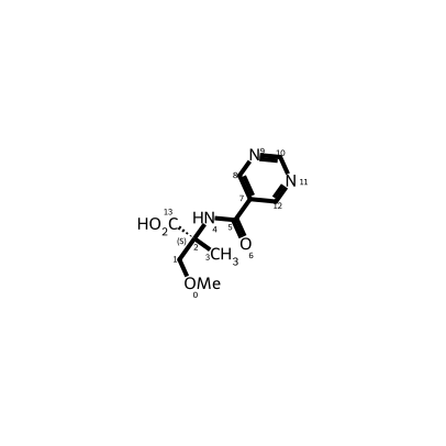 COC[C@](C)(NC(=O)c1cncnc1)C(=O)O